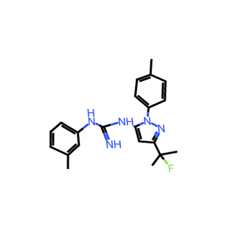 Cc1ccc(-n2nc(C(C)(C)F)cc2NC(=N)Nc2cccc(C)c2)cc1